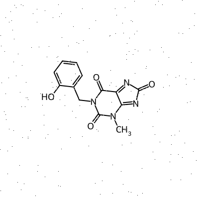 Cn1c2c(c(=O)n(Cc3ccccc3O)c1=O)=NC(=O)N=2